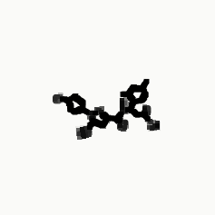 Cc1ccc(C(CC(=O)O)NC(=O)c2cc(O)n(-c3ccc(Cl)cc3)n2)c(C)c1